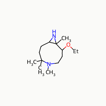 CCOC1CCN(C)C(C)(C)CCC2NC21C